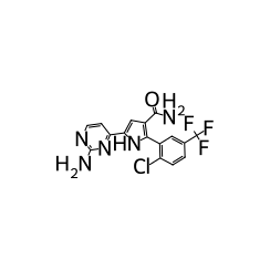 NC(=O)c1cc(-c2ccnc(N)n2)[nH]c1-c1cc(C(F)(F)F)ccc1Cl